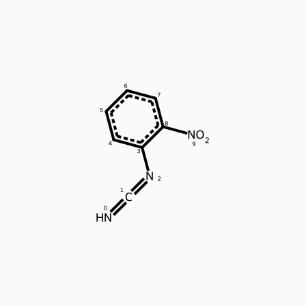 N=C=Nc1ccccc1[N+](=O)[O-]